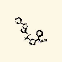 O=C(Nc1ccn2c1CSC2c1cccnc1)c1cccc(/C(=N/O)c2ccccc2)c1